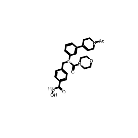 CC(=O)N1CC=C(c2cccc(N(Cc3ccc(C(=O)NO)cc3)C(=O)N3CCOCC3)c2)CC1